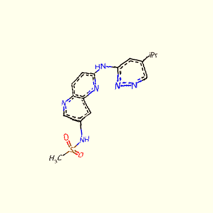 CC(C)c1cnnc(Nc2ccc3ncc(NS(C)(=O)=O)cc3n2)c1